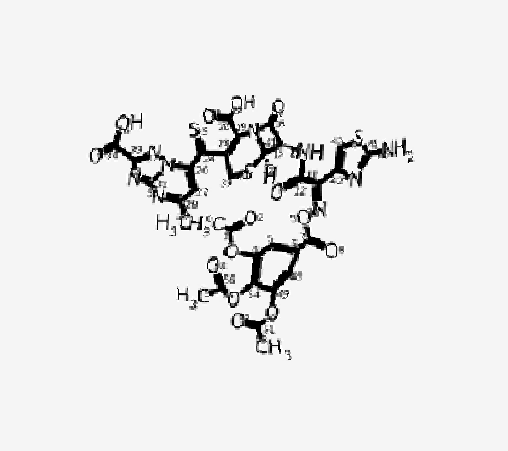 CC(=O)Oc1cc(C(=O)O/N=C(\C(=O)N[C@@H]2C(=O)N3C(C(=O)O)=C(C(=S)c4cc(C)nc5nc(C(=O)O)nn45)CS[C@H]23)c2csc(N)n2)cc(OC(C)=O)c1OC(C)=O